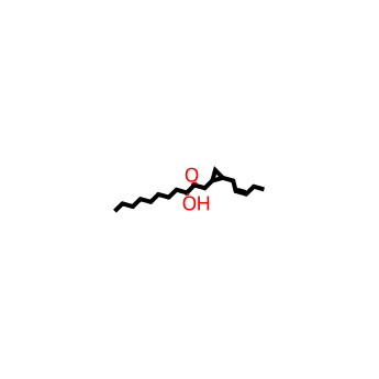 CC/C=C\CC1CC1CC(=O)C(O)CCCCCCCC